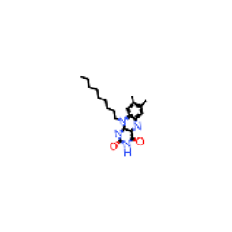 CCCCCCCCCn1c2nc(=O)[nH]c(=O)c-2nc2cc(C)c(C)cc21